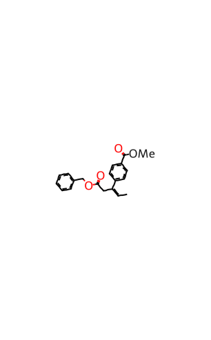 C/C=C(/CC(=O)OCc1ccccc1)c1ccc(C(=O)OC)cc1